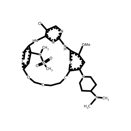 COc1cc(N2CCC(N(C)C)CC2)c2cc1Nc1ncc(Cl)c(n1)Nc1ccc(cc1N(C)S(C)(=O)=O)OCCCCC2